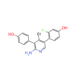 CCc1c(-c2ccc(O)cc2F)cnc(N)c1-c1ccc(O)cc1